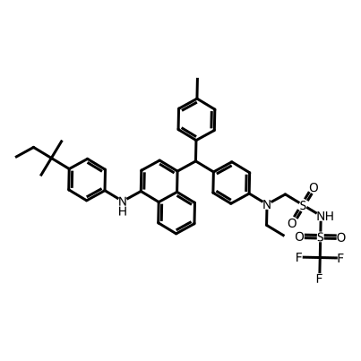 CCN(CS(=O)(=O)NS(=O)(=O)C(F)(F)F)c1ccc(C(c2ccc(C)cc2)c2ccc(Nc3ccc(C(C)(C)CC)cc3)c3ccccc23)cc1